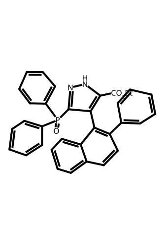 CCOC(=O)c1[nH]nc(P(=O)(c2ccccc2)c2ccccc2)c1-c1c(-c2ccccc2)ccc2ccccc12